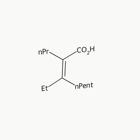 CCCCC/C(CC)=C(/CCC)C(=O)O